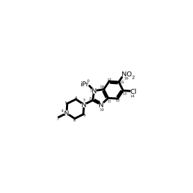 CC(C)n1c(N2CCN(C)CC2)nc2cc(Cl)c([N+](=O)[O-])cc21